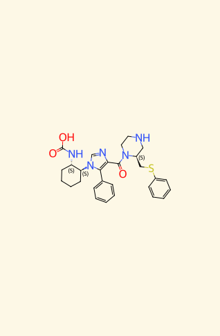 O=C(O)N[C@H]1CCCC[C@@H]1n1cnc(C(=O)N2CCNC[C@H]2CSc2ccccc2)c1-c1ccccc1